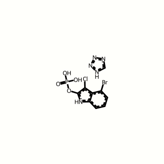 O=P(O)(O)Oc1[nH]c2cccc(Br)c2c1Cl.c1nnn[nH]1